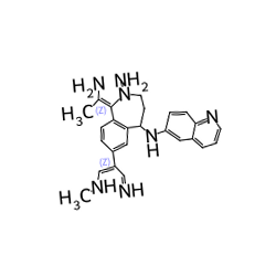 CN/C=C(\C=N)c1ccc2c(c1)C(Nc1ccc3ncccc3c1)CCN(N)/C2=C(/C)N